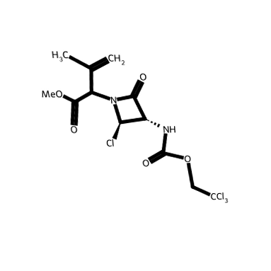 C=C(C)C(C(=O)OC)N1C(=O)[C@H](NC(=O)OCC(Cl)(Cl)Cl)[C@H]1Cl